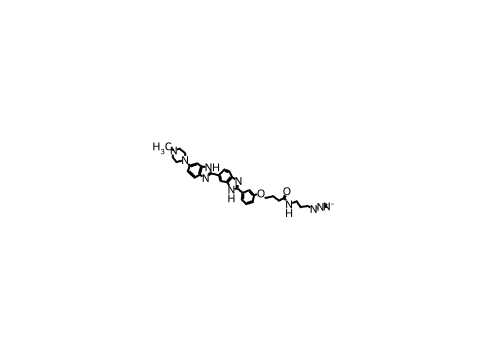 CN1CCN(c2ccc3nc(-c4ccc5nc(-c6cccc(OCCCC(=O)NCCCN=[N+]=[N-])c6)[nH]c5c4)[nH]c3c2)CC1